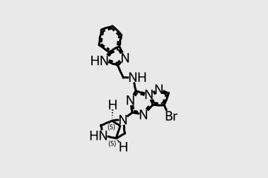 Brc1cnn2c(NCc3nc4ccccc4[nH]3)nc(N3C[C@@H]4C[C@H]3CN4)nc12